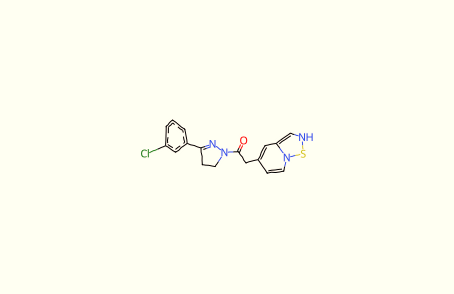 O=C(CC1=CC2=CNSN2C=C1)N1CCC(c2cccc(Cl)c2)=N1